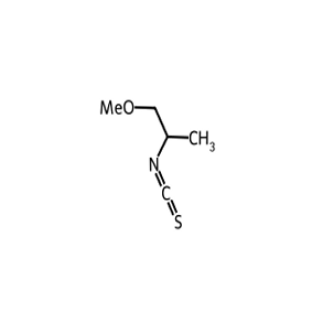 COCC(C)N=C=S